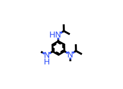 CNc1cc(NC(C)C)cc(N(C)C(C)C)c1